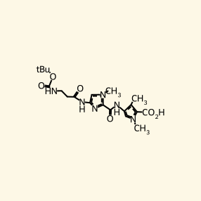 Cc1c(NC(=O)c2nc(NC(=O)CCNC(=O)OC(C)(C)C)cn2C)cn(C)c1C(=O)O